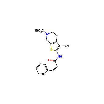 CCOC(=O)N1CCc2c(sc(NC(=O)/C=C\c3ccccc3)c2C#N)C1